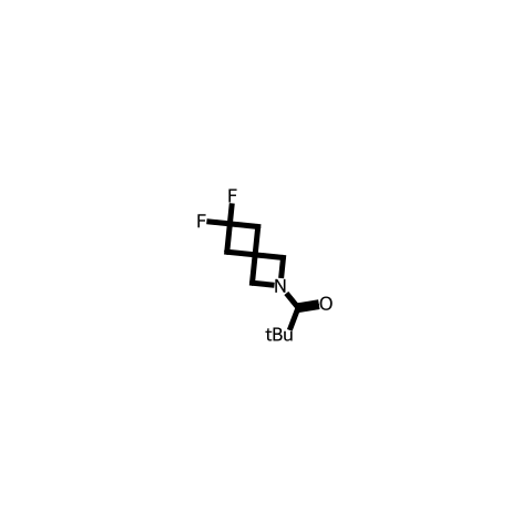 CC(C)(C)C(=O)N1CC2(C1)CC(F)(F)C2